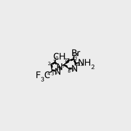 Cc1cc(C(F)(F)F)nn1-c1cnc(N)c(Br)c1